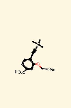 COCOc1cc(C(=O)O)ccc1C#C[Si](C)(C)C